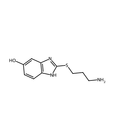 NCCCSc1nc2cc(O)ccc2[nH]1